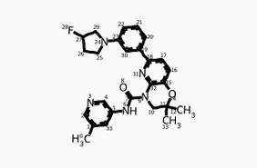 Cc1cncc(NC(=O)N2CC(C)(C)Oc3ccc(-c4cccc(N5CCC(F)C5)c4)nc32)c1